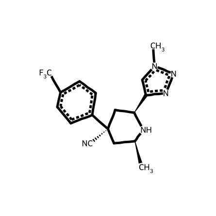 C[C@H]1C[C@@](C#N)(c2ccc(C(F)(F)F)cc2)C[C@@H](c2cn(C)nn2)N1